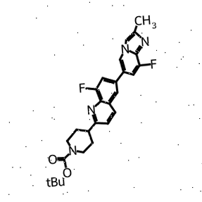 Cc1cn2cc(-c3cc(F)c4nc(C5CCN(C(=O)OC(C)(C)C)CC5)ccc4c3)cc(F)c2n1